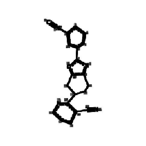 [C-]#[N+]c1cccc(-c2nc3c(o2)CC(c2ncccc2C#N)CC3)c1